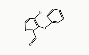 O=Cc1cccc(Br)c1Oc1ccccc1